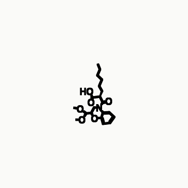 CCCCCC[C@H](C(=O)O)C(=O)N1CC(C(OC)OC)Oc2ccccc21